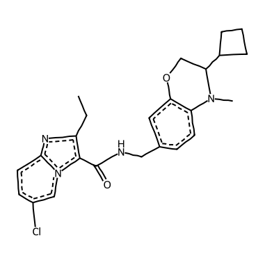 CCc1nc2ccc(Cl)cn2c1C(=O)NCc1ccc2c(c1)OCC(C1CCC1)N2C